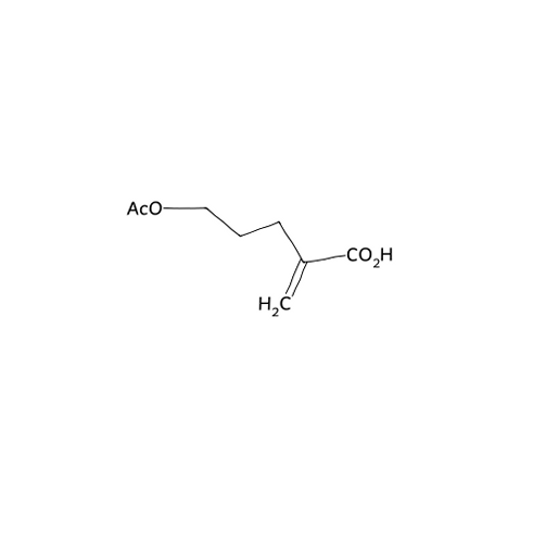 C=C(CCCOC(C)=O)C(=O)O